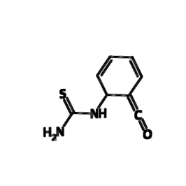 NC(=S)NC1C=CC=CC1=C=O